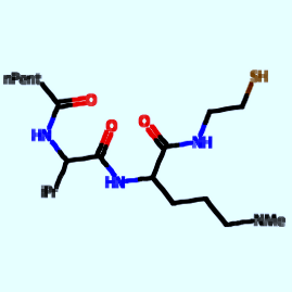 CCCCCC(=O)NC(C(=O)NC(CCCNC)C(=O)NCCS)C(C)C